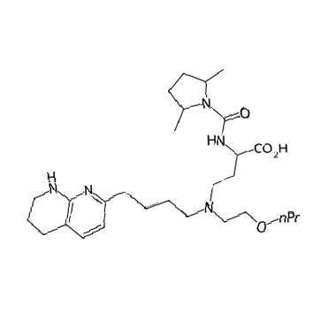 CCCOCCN(CCCCc1ccc2c(n1)NCCC2)CCC(NC(=O)N1C(C)CCC1C)C(=O)O